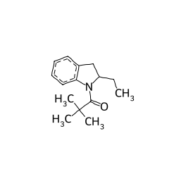 CCC1Cc2ccccc2N1C(=O)C(C)(C)C